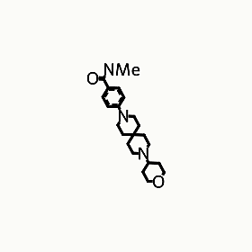 CNC(=O)c1ccc(N2CCC3(CC2)CCN(C2CCOCC2)CC3)cc1